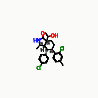 Cc1ccc([C@@H]2CC[C@@]3(C(C)O)C(=O)N[C@H](C)[C@H]3[C@H]2c2ccc(Cl)cc2)c(Cl)c1